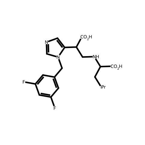 CC(C)CC(NCC(C(=O)O)c1cncn1Cc1cc(F)cc(F)c1)C(=O)O